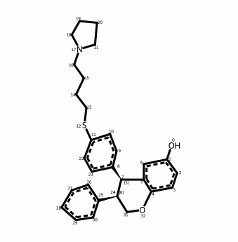 Oc1ccc2c(c1)[C@H](c1ccc(SCCCCN3CCCC3)cc1)[C@H](c1ccccc1)CO2